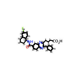 O=C(O)CCCc1nc2cc(C(=O)NC3CCCc4cc(F)ccc43)ccc2nc1-c1ccccc1